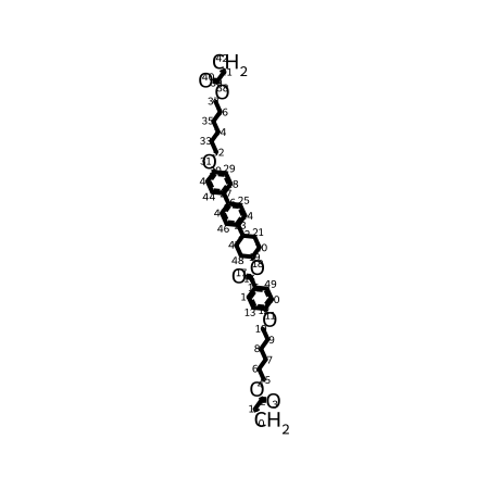 C=CC(=O)OCCCCCCOc1ccc(C(=O)OC2CCC(c3ccc(-c4ccc(OCCCCCCOC(=O)C=C)cc4)cc3)CC2)cc1